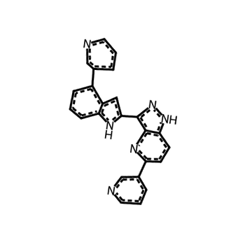 c1cncc(-c2ccc3[nH]nc(-c4cc5c(-c6cccnc6)cccc5[nH]4)c3n2)c1